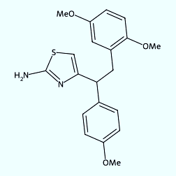 COc1ccc(C(Cc2cc(OC)ccc2OC)c2csc(N)n2)cc1